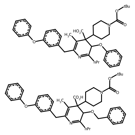 CCCC1=NC(Cc2cccc(Oc3ccccc3)c2)=C(C)C(C(=O)O)(C2CCN(C(=O)OC(C)(C)C)CC2)C1OCc1ccccc1.CCCC1=NC(Cc2cccc(Oc3ccccc3)c2)=C(C)C(C(=O)O)(C2CCN(C(=O)OC(C)(C)C)CC2)C1Oc1ccccc1